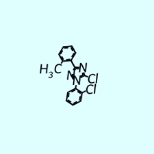 Cc1ccccc1-c1nc(Cl)n(-c2ccccc2Cl)n1